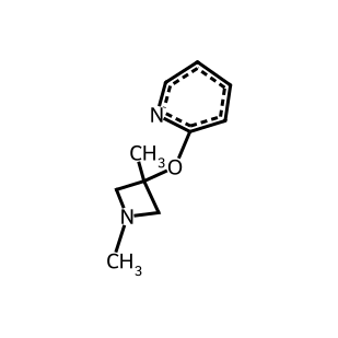 CN1CC(C)(Oc2ccccn2)C1